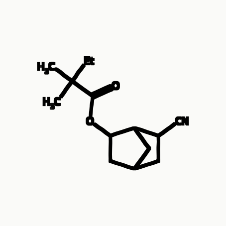 CCC(C)(C)C(=O)OC1CC2CC(C#N)C1C2